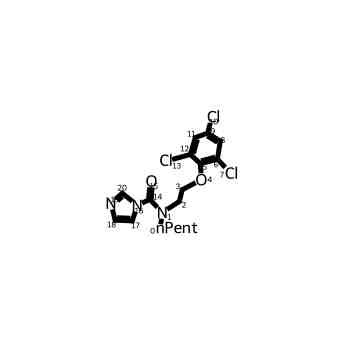 CCCCCN(CCOc1c(Cl)cc(Cl)cc1Cl)C(=O)n1ccnc1